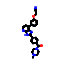 CN1CCN(C(=O)c2ccc(-c3nc4c(-c5cccc(OCC#N)c5)ccnc4[nH]3)cc2)CC1